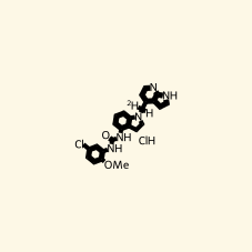 Cl.[2H]C([2H])(c1ccnc2[nH]ccc12)N1CCc2c(NC(=O)Nc3cc(Cl)ccc3OC)cccc21